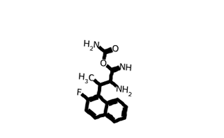 CC(c1c(F)ccc2ccccc12)C(N)C(=N)OC(N)=O